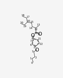 CCCCOc1ccc(OC(=O)C(C)CCC(CC)CC)cc1